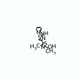 Cc1nc(C(C)O)sc1-c1csc(Nc2ccccn2)n1